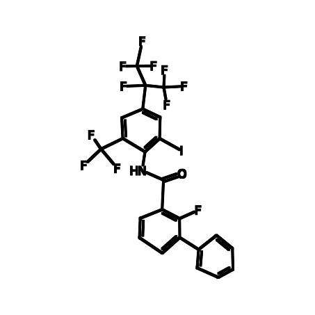 O=C(Nc1c(I)cc(C(F)(C(F)(F)F)C(F)(F)F)cc1C(F)(F)F)c1cccc(-c2ccccc2)c1F